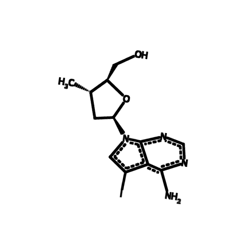 C[C@H]1C[C@H](n2cc(I)c3c(N)ncnc32)O[C@@H]1CO